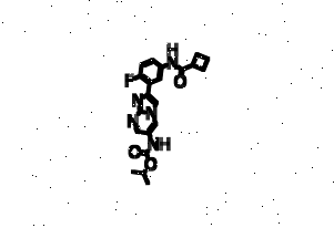 CC(C)OC(=O)Nc1cnc2nc(-c3cc(NC(=O)C4CCC4)ccc3F)cn2c1